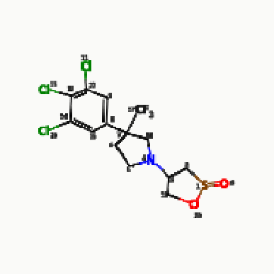 O=S1CC(N2[CH]CC(c3cc(Cl)c(Cl)c(Cl)c3)(C(F)(F)F)C2)CO1